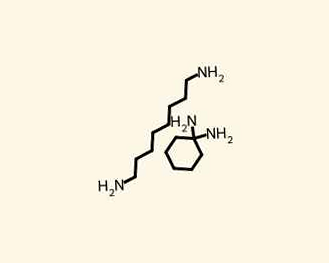 NC1(N)CCCCC1.NCCCCCCCCN